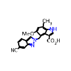 COc1cc(C)c2[nH]cc(C(=O)O)c2c1Cn1cc2ccc(C#N)cc2n1